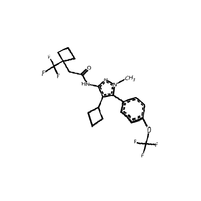 Cn1nc(NC(=O)CC2(C(F)(F)F)CCC2)c(C2CCC2)c1-c1ccc(OC(F)(F)F)cc1